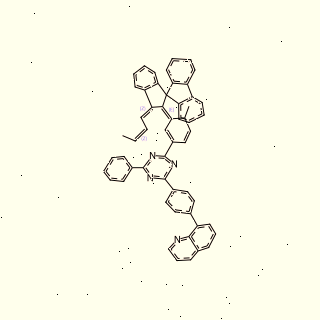 C\C=C/C=C1\C(=C2/C=C(c3nc(-c4ccccc4)nc(-c4ccc(-c5cccc6cccnc56)cc4)n3)C=CC2C)C2(c3ccccc31)c1ccccc1-c1ccccc12